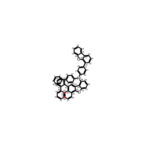 c1ccc(-c2ccc(N(c3ccc(-c4cccc5c4oc4ccccc45)cc3)c3cccc4oc5c6ccccc6c(-c6ccccc6-c6ccccc6)cc5c34)cc2)cc1